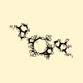 Nc1nc2c(ncn2[C@@H]2O[C@@H]3C4OP(=O)(O)O[C@H]5C[C@H](n6cnc7c(N)ncnc76)O[C@@H]5COP(=O)(O)O[C@@H]2[C@@]43O)c(=O)[nH]1